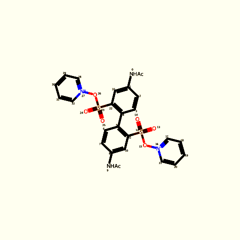 CC(=O)Nc1ccc(-c2ccc(NC(C)=O)cc2S(=O)(=O)O[n+]2ccccc2)c(S(=O)(=O)O[n+]2ccccc2)c1